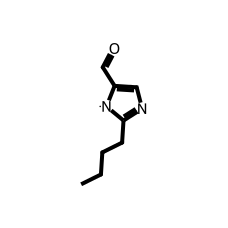 CCCCC1=NC=C(C=O)[N]1